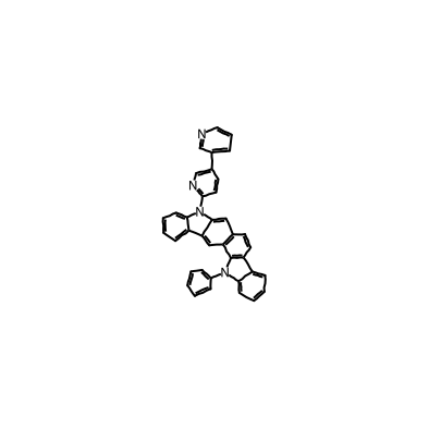 c1ccc(-n2c3ccccc3c3ccc4cc5c(cc4c32)c2ccccc2n5-c2ccc(-c3cccnc3)cn2)cc1